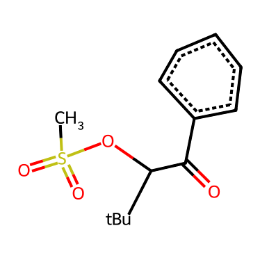 CC(C)(C)C(OS(C)(=O)=O)C(=O)c1ccccc1